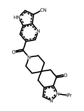 CC(C)n1ncc2c1C(=O)CC1(CCN(C(=O)c3cnc4c(C#N)c[nH]c4c3)CC1)C2